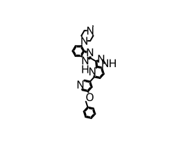 CN1CCN(c2cccc3[nH]c(-c4n[nH]c5ccc(-c6cncc(OCc7ccccc7)c6)nc45)nc23)CC1